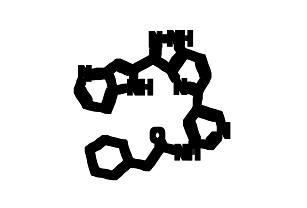 O=C(CC1CCCCC1)Nc1cncc(-c2ccc3[nH]nc(-c4cc5ncccc5[nH]4)c3n2)c1